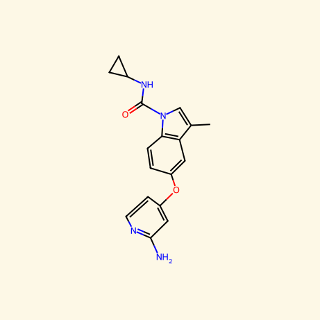 Cc1cn(C(=O)NC2CC2)c2ccc(Oc3ccnc(N)c3)cc12